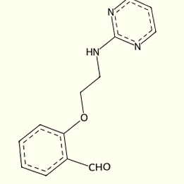 O=Cc1ccccc1OCCNc1ncccn1